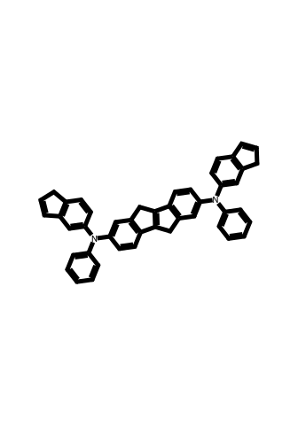 C1=Cc2cc(N(c3ccccc3)c3ccc4c(c3)CC3=C4Cc4cc(N(c5ccccc5)c5ccc6c(c5)CC=C6)ccc43)ccc2C1